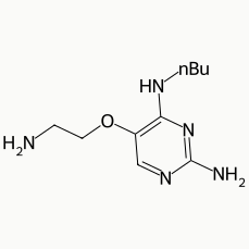 CCCCNc1nc(N)ncc1OCCN